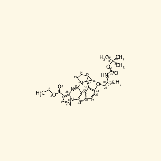 CCOC(=O)c1cnn2ccc(N3CCC4CC43c3cc(F)ccc3OC[C@@H](C)NC(=O)OC(C)(C)C)nc12